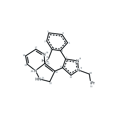 Cc1ccccc1-c1nn(CC(C)C)cc1C1=C2N=CC=CN2NC1